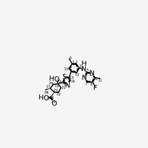 Cc1cc(Nc2ncc(F)c(C)n2)cc(-c2cnc([C@]3(O)CC[C@@H](C(=O)O)[C@@H](C)C3)s2)c1